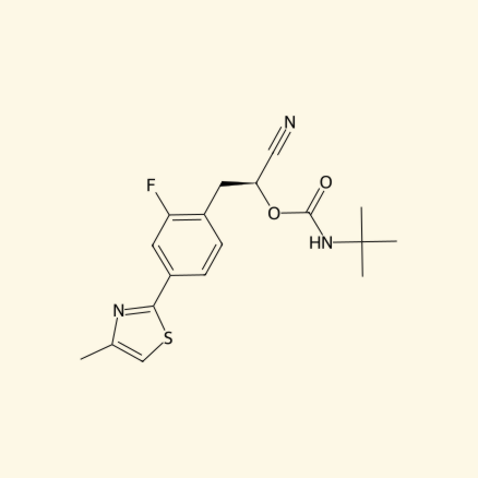 Cc1csc(-c2ccc(C[C@@H](C#N)OC(=O)NC(C)(C)C)c(F)c2)n1